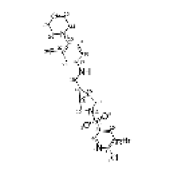 O=S(=O)(c1cnc(Cl)c(Br)c1)N1CC2C(CNc3ccc(N4CCOCC4)c(F)c3)C2C1